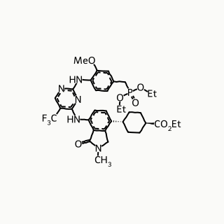 CCOC(=O)[C@H]1CC[C@H](c2ccc(Nc3nc(Nc4ccc(CP(=O)(OCC)OCC)cc4OC)ncc3C(F)(F)F)c3c2CN(C)C3=O)CC1